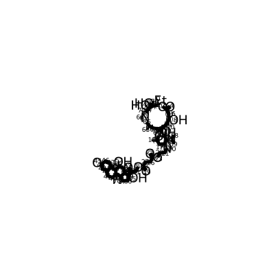 CC[C@H]1OC(=O)[C@H](C)[C@@H](O)[C@H](C)[C@@H](O[C@@H]2O[C@H](C)C[C@@H](N(C)CCOC(=O)CCC(=O)OCC(=O)[C@@]3(O)CCC4[C@@H]5CCC6=CC(=O)C=C[C@]6(C)C5[C@@H](O)C[C@@]43C)[C@@H]2N(C)C)[C@](C)(O)C[C@@H](C)CN(C)[C@H](C)[C@@H](O)[C@]1(C)O